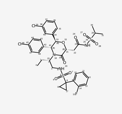 CC[C@@H](CNS(=O)(=O)C1(c2ccccc2F)CC1)N1C(=O)[C@@H](CC(=O)NS(=O)(=O)C(C)C)O[C@H](c2cccc(Cl)c2)[C@H]1c1ccc(Cl)cc1